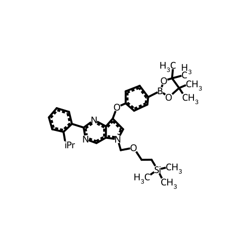 CC(C)c1ccccc1-c1ncc2c(n1)c(Oc1ccc(B3OC(C)(C)C(C)(C)O3)cc1)cn2COCC[Si](C)(C)C